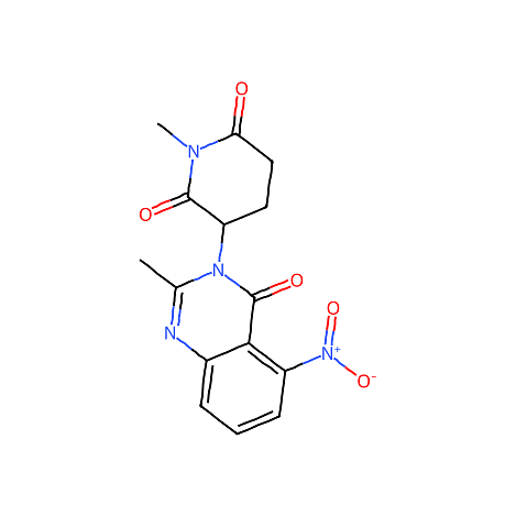 Cc1nc2cccc([N+](=O)[O-])c2c(=O)n1C1CCC(=O)N(C)C1=O